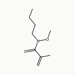 C=C(C)C(=O)N(CCCC)OC